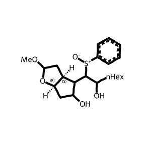 CCCCCCC(O)C(C1C(O)C[C@H]2OC(OC)C[C@@H]12)[S+]([O-])c1ccccc1